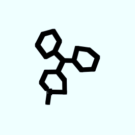 CN1CCC(C(C2CCCCC2)C2CCCCC2)CC1